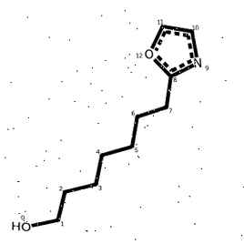 OCCCCCCCc1ncco1